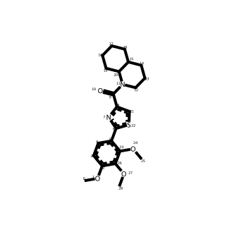 COc1ccc(-c2nc(C(=O)N3CCCC4CCCCC43)cs2)c(OC)c1OC